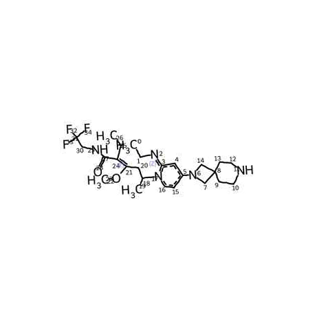 CC/N=c1/cc(N2CC3(CCNCC3)C2)ccn1C(C)C/C(OC)=C(\CC)C(=O)NCC(F)(F)F